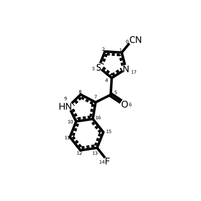 N#Cc1csc(C(=O)c2c[nH]c3ccc(F)cc23)n1